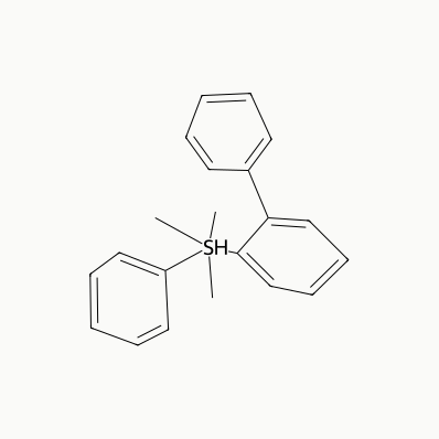 C[SH](C)(C)(c1ccccc1)c1ccccc1-c1ccccc1